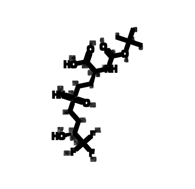 CC(C)(C)OC(=O)N[C@@H](CCS(=N)(=O)CC[C@@H](O)C(F)(F)F)C(=O)O